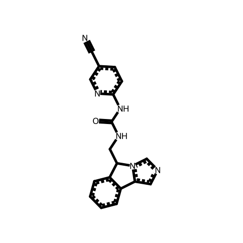 N#Cc1ccc(NC(=O)NCC2c3ccccc3-c3cncn32)nc1